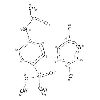 CC(=O)Nc1ccc([As](=O)(O)OO)cc1.Clc1ccc(Cl)nc1